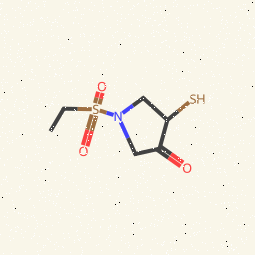 CCS(=O)(=O)N1CC(=O)C(S)C1